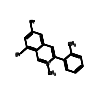 Cc1ccccc1-c1cc2cc(C(C)C)cc(C(C)C)c2c[n+]1C